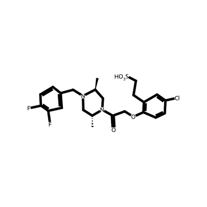 C[C@@H]1CN(Cc2ccc(F)c(F)c2)[C@@H](C)CN1C(=O)COc1ccc(Cl)cc1CCS(=O)(=O)O